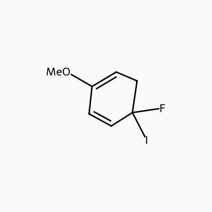 COC1=CCC(F)(I)C=C1